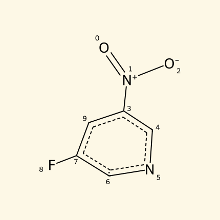 O=[N+]([O-])c1cn[c]c(F)c1